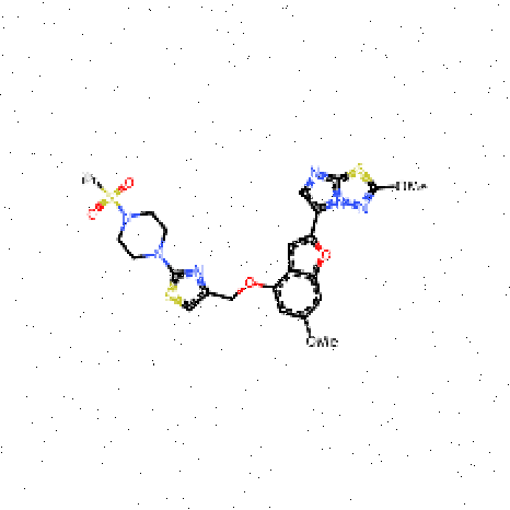 COc1cc(OCc2csc(N3CCN(S(=O)(=O)C(C)C)CC3)n2)c2cc(-c3cnc4sc(OC)nn34)oc2c1